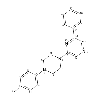 Cc1ccc(N2CCN(c3cncc(-c4ccccc4)n3)CC2)cc1